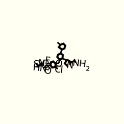 Cc1cccc(-c2ccc(Oc3cc(F)c(S(=O)(=O)Nc4cscn4)cc3Cl)c(-c3ccnc(CN)c3)c2)c1